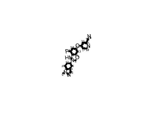 Cn1ncc2cc(N(C=O)Nc3ccc(Oc4ccnc(C#N)c4)cc3F)ccc21